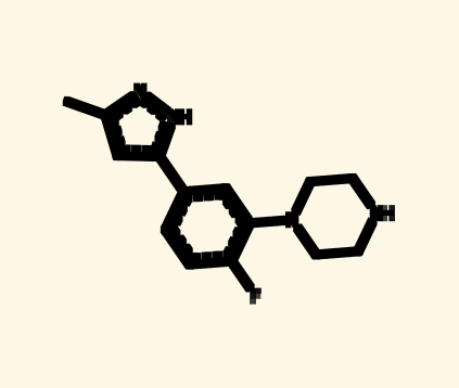 Cc1cc(-c2ccc(F)c(N3CCNCC3)c2)[nH]n1